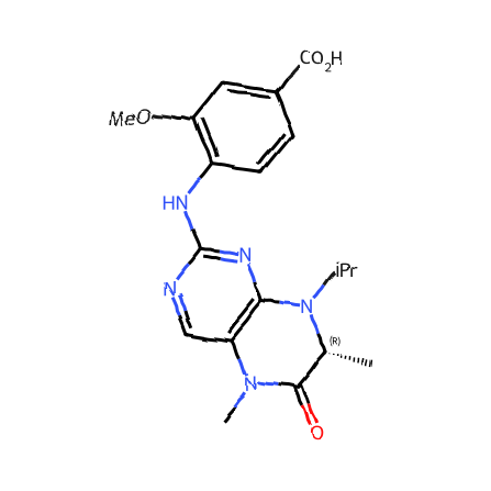 COc1cc(C(=O)O)ccc1Nc1ncc2c(n1)N(C(C)C)[C@H](C)C(=O)N2C